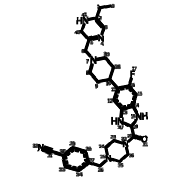 CCC1=CN=C(CN2CCC(c3cc4c(cc3F)NC(C(=O)N3CCN(Cc5ccc(C#N)cc5)CC3)N4)CC2)CN1